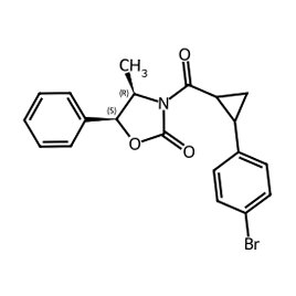 C[C@@H]1[C@H](c2ccccc2)OC(=O)N1C(=O)C1CC1c1ccc(Br)cc1